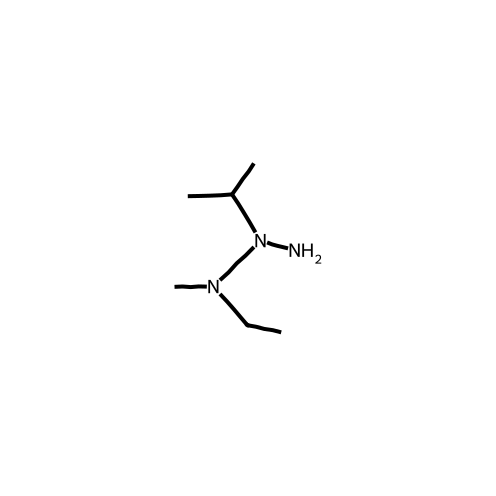 CCN(C)N(N)C(C)C